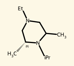 CCN1CC(C)N(C(C)C)[C@H](C)C1